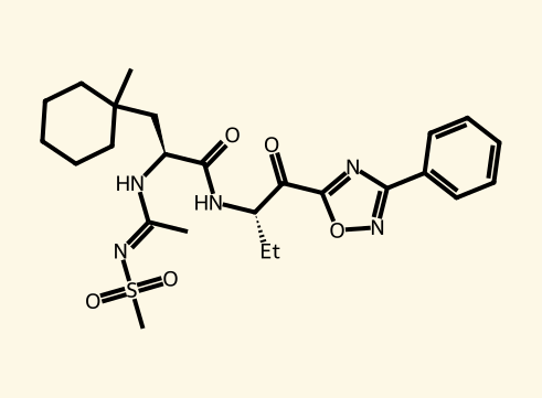 CC[C@H](NC(=O)[C@H](CC1(C)CCCCC1)N/C(C)=N/S(C)(=O)=O)C(=O)c1nc(-c2ccccc2)no1